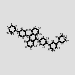 c1ccc(-c2ccc(-c3c4ccccc4c(-c4ccc(-c5cncc(-c6ccncc6)c5)cc4)c4ccccc34)cc2)nc1